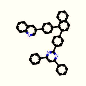 c1ccc(-c2cc(-c3ccccc3)nc(-c3ccc(-c4ccc5ccccc5c4-c4ccc(-c5cnc6ccccc6c5)cc4)cc3)n2)cc1